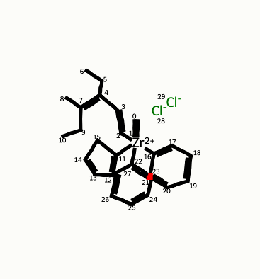 [CH2]=[Zr+2]([CH]=CC(CC)=C(C)CC)([C]1=CC=CC1)([c]1ccccc1)[c]1ccccc1.[Cl-].[Cl-]